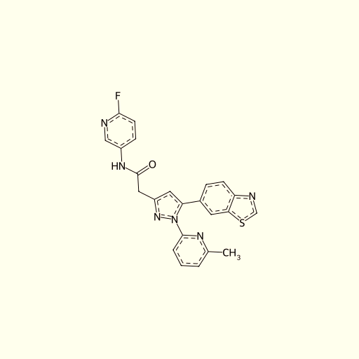 Cc1cccc(-n2nc(CC(=O)Nc3ccc(F)nc3)cc2-c2ccc3ncsc3c2)n1